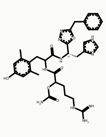 Cc1cc(O)cc(C)c1CC(NC(=O)C(CCCNC(=N)N)OC(N)=O)C(=O)N[C@@H](Cc1c[nH]cn1)c1nnc(Cc2ccccc2)o1